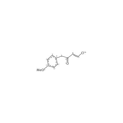 COc1ccc(CC(=O)C=CCl)cc1